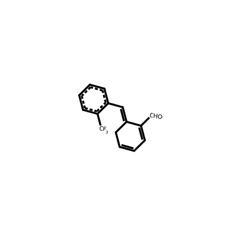 O=[C]C1=CC=CCC1=Cc1ccccc1C(F)(F)F